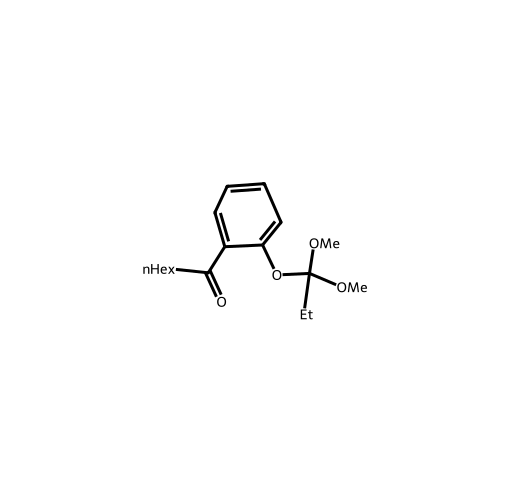 CCCCCCC(=O)c1ccccc1OC(CC)(OC)OC